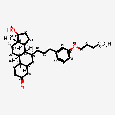 C[C@]12CCC(=O)CC1CC(CCCc1cccc(OCCCC(=O)O)c1)[C@@H]1[C@H]2CC[C@]2(C)C(O)CC[C@@H]12